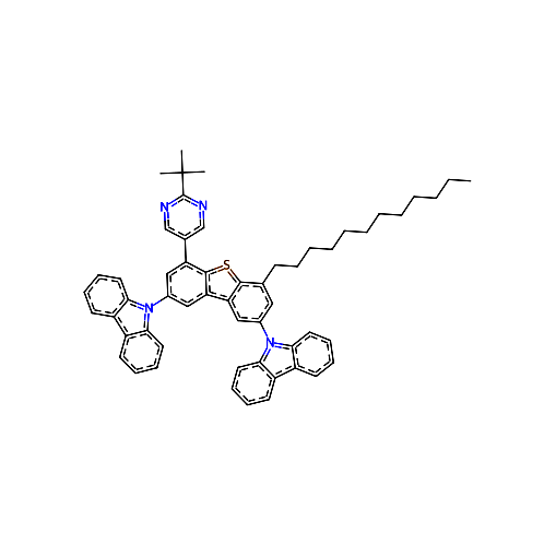 CCCCCCCCCCCCc1cc(-n2c3ccccc3c3ccccc32)cc2c1sc1c(-c3cnc(C(C)(C)C)nc3)cc(-n3c4ccccc4c4ccccc43)cc12